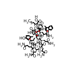 CSCC[C@H](NC(=O)[C@H](Cc1c[nH]c2ccccc12)NC(=O)CNC(=O)[C@H](Cc1ccc(O)cc1)NC(=O)[C@H](C)NC(=O)[C@@H](CCC(N)=O)NC(=O)[C@@H](CCC(N)=O)NC(=O)[C@@H](CCC(N)=O)NC(=O)[C@@H](CCC(N)=O)NC(=O)[C@@H](CCC(N)=O)NC(=O)[C@H](N)CCC(N)=O)C(=O)O